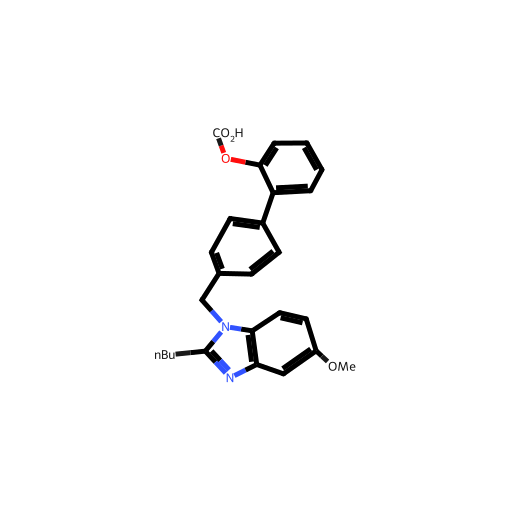 CCCCc1nc2cc(OC)ccc2n1Cc1ccc(-c2ccccc2OC(=O)O)cc1